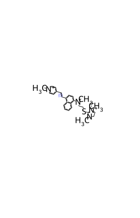 CN1CC[N+](C)=C1SCCN(C)c1ccc(/C=C/c2cc[n+](C)cc2)c2ccccc12